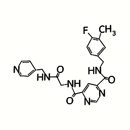 Cc1cc(CNC(=O)c2cc(C(=O)NCC(=O)NCc3ccncc3)ncn2)ccc1F